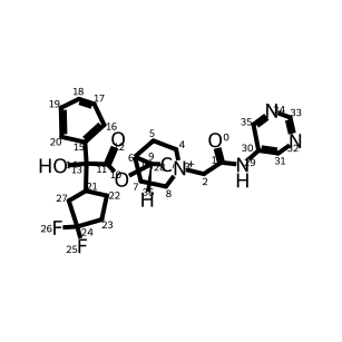 O=C(C[N+]12CCC(CC1)[C@@H](OC(=O)C(O)(c1ccccc1)C1CCC(F)(F)C1)C2)Nc1cncnc1